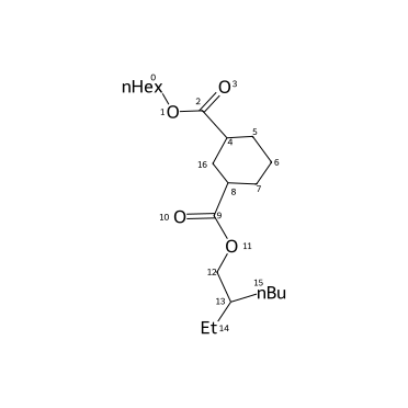 CCCCCCOC(=O)C1CCCC(C(=O)OCC(CC)CCCC)C1